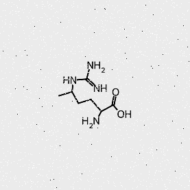 CC(CCC(N)C(=O)O)NC(=N)N